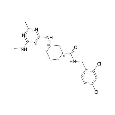 CNc1nc(C)nc(N[C@H]2CCC[C@@H](C(=O)NCc3ccc(Cl)cc3Cl)C2)n1